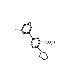 Cc1cncc(-c2cnc(C3CCCC3)c(C(=O)O)c2)c1